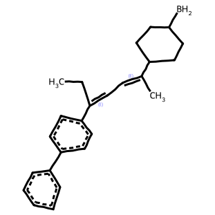 BC1CCC(/C(C)=C/C=C(\CC)c2ccc(-c3ccccc3)cc2)CC1